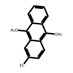 CCc1ccc2c(OC(C)=O)c3ccccc3c(OC(C)=O)c2c1